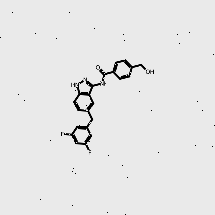 O=C(Nc1n[nH]c2ccc(Cc3cc(F)cc(F)c3)cc12)c1ccc(CO)cc1